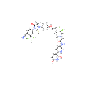 CC1(C)C(=O)N(c2ccc(C#N)c(C(F)(F)F)c2)C(=S)N1[C@H]1CC[C@H](OCCC2CCN(CC(=O)Nc3ccc(C4CCC(=O)NC4=O)nc3)CC2(F)F)CC1